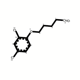 O=[C]CCCCOc1ccc(Cl)cc1Cl